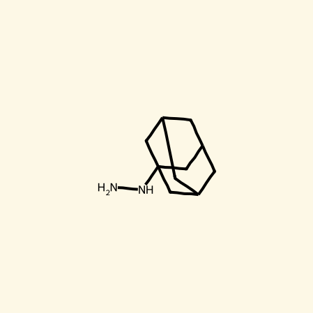 NNC12CC3CC(CC(C3)C1)C2